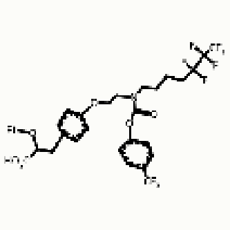 CCOC(Cc1ccc(OCCN(CCCCC(F)(F)C(F)(F)C(F)(F)F)C(=O)Oc2ccc(C(F)(F)F)cc2)cc1)C(=O)O